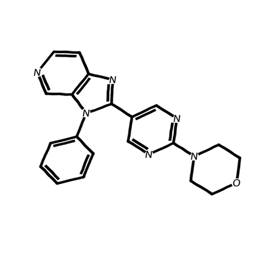 c1ccc(-n2c(-c3cnc(N4CCOCC4)nc3)nc3ccncc32)cc1